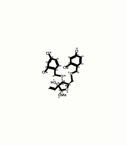 C=C[C@]1(O)[C@@H](OC)O[C@H](COCc2ccc(Cl)cc2Cl)[C@H]1OCc1ccc(Cl)cc1Cl